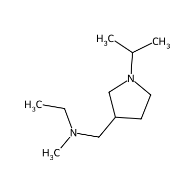 CCN(C)CC1CCN(C(C)C)C1